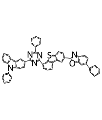 c1ccc(-c2ccc3nc(-c4ccc5sc6c(-c7nc(-c8ccccc8)nc(-c8ccc9c(c8)c8ccccc8n9-c8ccccc8)n7)cccc6c5c4)oc3c2)cc1